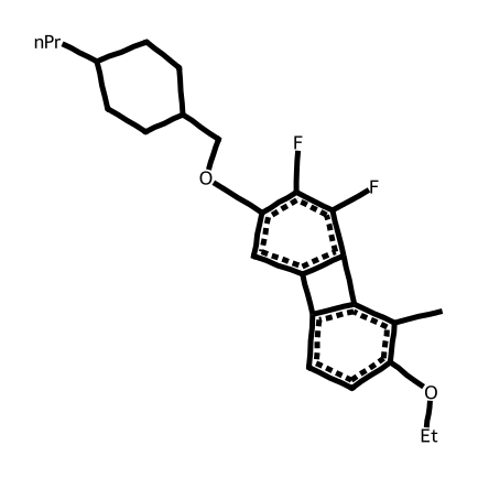 CCCC1CCC(COc2cc3c(c(F)c2F)-c2c-3ccc(OCC)c2C)CC1